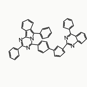 c1ccc(-c2nc(-c3ccc(-c4cccc(-c5nc(-c6ccccc6)c6ccccc6n5)c4)cc3)n3c(-c4ccccc4)c4ccccc4c3n2)cc1